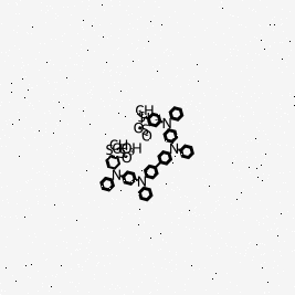 CSC1=C(S(=O)(=O)O)CC(N(c2ccccc2)c2ccc(N(c3ccccc3)c3ccc(-c4ccc(N(c5ccccc5)c5ccc(N(c6ccccc6)c6ccc(SC)c([SH](=O)=O)c6)cc5)cc4)cc3)cc2)C=C1